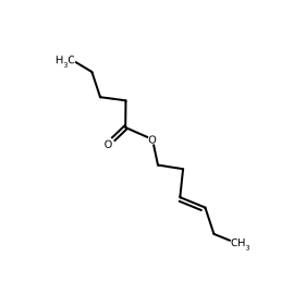 CCC=CCCOC(=O)CCCC